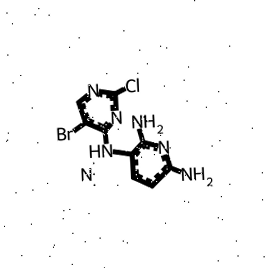 Nc1ccc(Nc2nc(Cl)ncc2Br)c(N)n1.[N]